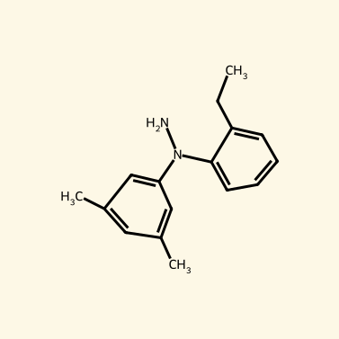 CCc1ccccc1N(N)c1cc(C)cc(C)c1